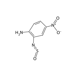 Nc1ccc([N+](=O)[O-])cc1N=S=O